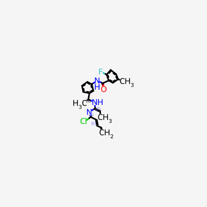 C=C/C=C/C(Cl)=N\C(=C/C)N[C@@H](C)c1cccc(NC(=O)c2cc(C)ccc2F)c1